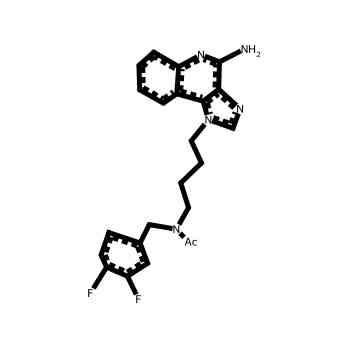 CC(=O)N(CCCCn1cnc2c(N)nc3ccccc3c21)Cc1ccc(F)c(F)c1